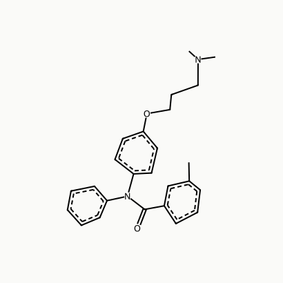 Cc1cccc(C(=O)N(c2ccccc2)c2ccc(OCCCN(C)C)cc2)c1